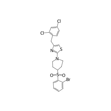 O=S(=O)(c1ccccc1Br)C1CCN(c2nc(Cc3ccc(Cl)cc3Cl)cs2)CC1